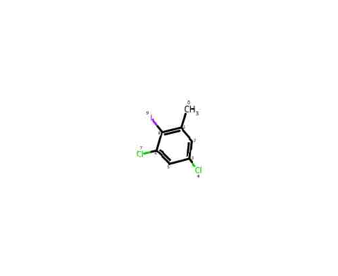 Cc1cc(Cl)cc(Cl)c1I